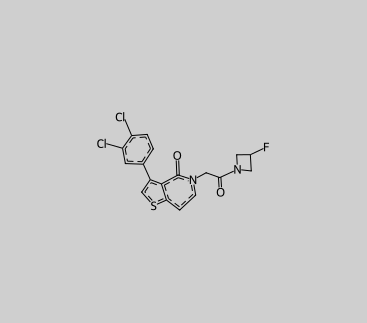 O=C(Cn1ccc2scc(-c3ccc(Cl)c(Cl)c3)c2c1=O)N1CC(F)C1